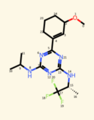 COC1C=C(c2nc(NC(C)C)nc(N[C@H](C)C(F)(F)F)n2)CCC1